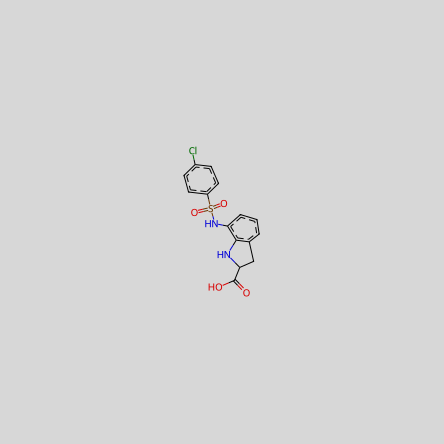 O=C(O)C1Cc2cccc(NS(=O)(=O)c3ccc(Cl)cc3)c2N1